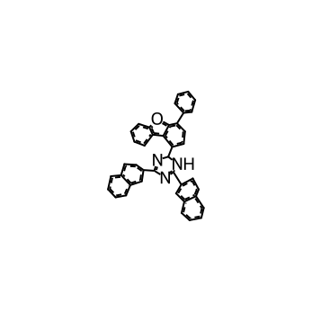 c1ccc(-c2ccc(C3N=C(c4ccc5ccccc5c4)N=C(c4ccc5ccccc5c4)N3)c3c2oc2ccccc23)cc1